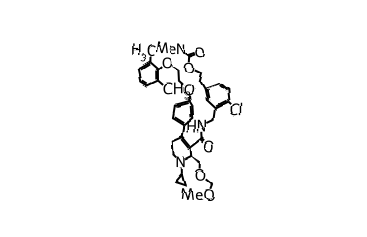 CNC(=O)OCCc1ccc(Cl)c(CNC(=O)C2=C(c3ccc(OCCOc4c(C)cccc4C)cc3)CCN(C3CC3)[C@@H]2COCOC)c1